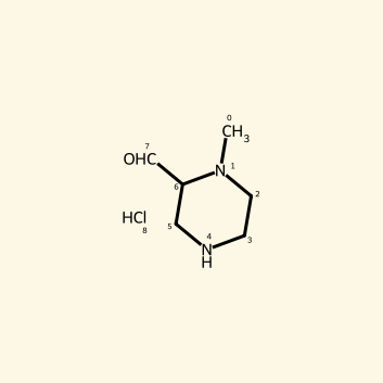 CN1CCNCC1C=O.Cl